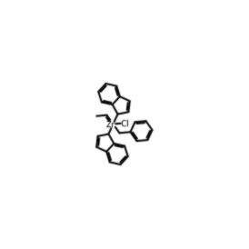 C[CH]=[Zr]([Cl])([CH2]c1ccccc1)([CH]1C=Cc2ccccc21)[CH]1C=Cc2ccccc21